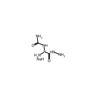 NNC(=O)N(N)NC(N)=O.[NaH]